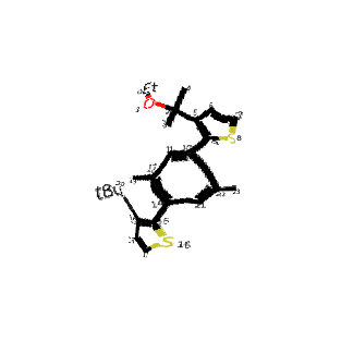 CCOC(C)(C)c1ccsc1-c1cc(C)c(-c2sccc2C(C)(C)C)cc1C